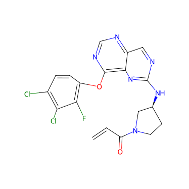 C=CC(=O)N1CC[C@H](Nc2ncc3ncnc(Oc4ccc(Cl)c(Cl)c4F)c3n2)C1